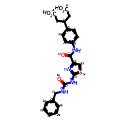 O=C(O)CC(CC(=O)O)c1ccc(NC(=O)c2csc(NC(=O)NCc3ccccc3)n2)cc1